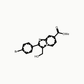 COC(=O)c1ccn2c(CO)c(-c3ccc(Br)cc3)nc2c1